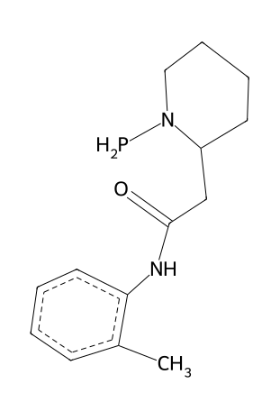 Cc1ccccc1NC(=O)CC1CCCCN1P